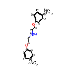 O=[N+]([O-])c1ccc(OCCNCCOc2ccc([N+](=O)[O-])cc2)cc1